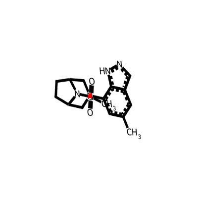 Cc1cc(N2CC3CCC(C2)N3S(C)(=O)=O)c2[nH]ncc2c1